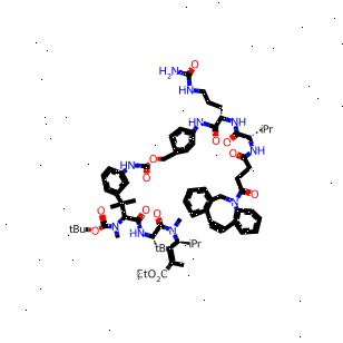 CCOC(=O)/C(C)=C/[C@H](C(C)C)N(C)C(=O)[C@@H](NC(=O)C(N(C)C(=O)OC(C)(C)C)C(C)(C)c1cccc(NC(=O)OCc2ccc(NC(=O)[C@H](CCCNC(N)=O)NC(=O)[C@@H](NC(=O)CCC(=O)N3Cc4ccccc4C#Cc4ccccc43)C(C)C)cc2)c1)C(C)(C)C